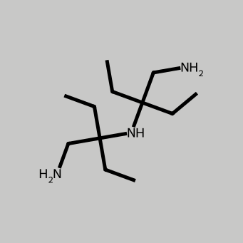 CCC(CC)(CN)NC(CC)(CC)CN